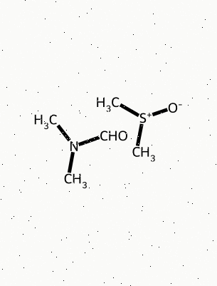 CN(C)C=O.C[S+](C)[O-]